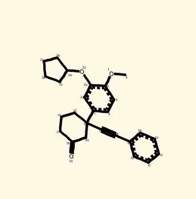 COc1ccc(C2(C#Cc3ccccc3)CCCC(=O)C2)cc1OC1CCCC1